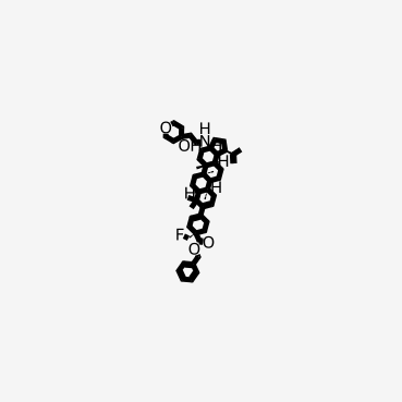 C=C(C)[C@@H]1CC[C@]2(NCCC3(O)CCOCC3)CC[C@]3(C)[C@H](CC[C@@H]4[C@@]5(C)CC=C(C6=CC[C@](CF)(C(=O)OCc7ccccc7)CC6)C(C)(C)[C@@H]5CC[C@]43C)[C@@H]12